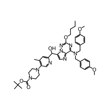 CCCCOc1nc(N(Cc2ccc(OC)cc2)Cc2ccc(OC)cc2)c2ncc(C(O)c3cc(C)c(N4CCN(C(=O)OC(C)(C)C)CC4)cn3)n2n1